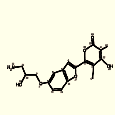 Cc1c(-c2cc3cc(OCC(O)CN)ccc3o2)oc(=O)c(C)c1O